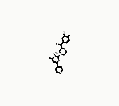 Cn1c(N2CCOC(C(=O)c3ccc(F)c(Cl)c3)C2)nc(-c2ccncc2)cc1=O